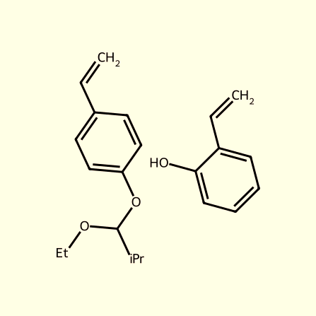 C=Cc1ccc(OC(OCC)C(C)C)cc1.C=Cc1ccccc1O